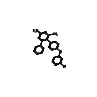 Nc1nc(N)c(-c2ccc(Oc3ccnc(Cl)c3)cc2)c(-c2ccccc2)n1